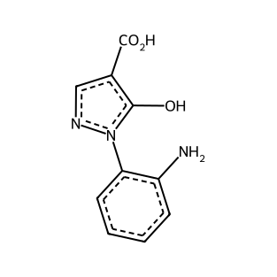 Nc1ccccc1-n1ncc(C(=O)O)c1O